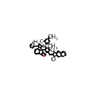 Cc1cc(C)c(N2c3ccc(C=C4C(=O)c5cc6ccccc6cc5C4=O)cc3C3(c4ccccc4-c4ccccc43)c3cc(-c4cccs4)ccc32)c(C)c1